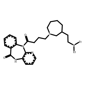 CCN(CC)CCC1CCCCN(CCCC(=O)N2c3ccccc3C(=O)Nc3cccnc32)C1